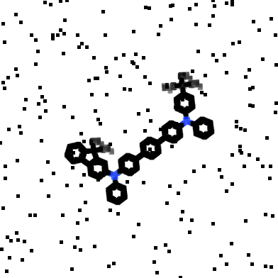 CC1(C)c2ccccc2-c2ccc(N(c3ccccc3)c3ccc(-c4ccc(-c5ccc(N(c6ccccc6)c6ccc([Si](C)(C)C)cc6)cc5)cc4)cc3)cc21